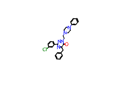 O=c1c(Cc2ccccc2)nc(-c2cccc(Cl)c2)nn1CCN1CCN(c2ccccc2)CC1